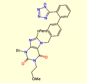 CCCCCc1nc2c(c(=O)n(CCOC)c(=O)n2CC)n1Cc1ccc(-c2ccccc2-c2nnn[nH]2)cc1